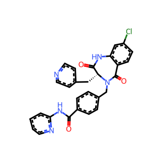 O=C(Nc1ccccn1)c1ccc(CN2C(=O)c3ccc(Cl)cc3NC(=O)[C@H]2Cc2ccncc2)cc1